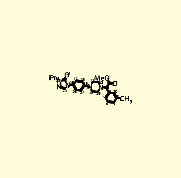 COC(=O)C(c1cccc(C)c1)N1CCN(c2ccc(-n3cnn(C(C)C)c3=O)cc2)CC1